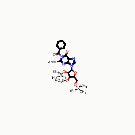 CC(=O)Nc1nc2c(ncn2C2OC(CO[Si](C)(C)C(C)(C)C)C(OS(=O)(=O)O)C2O[Si](C)(C)C(C)(C)C)c(=O)n1C(=O)c1ccccc1